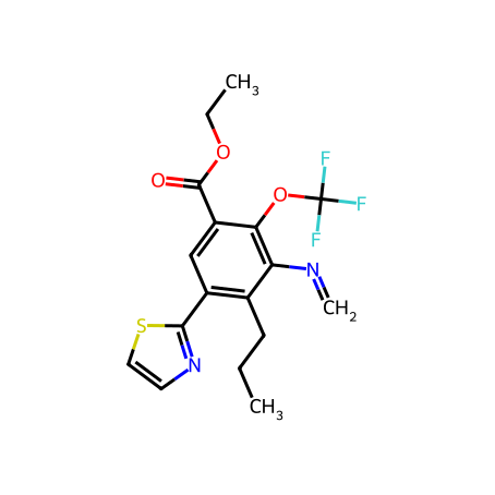 C=Nc1c(CCC)c(-c2nccs2)cc(C(=O)OCC)c1OC(F)(F)F